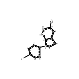 Fc1cnc(-n2ccc3cc(Cl)nnc32)nc1